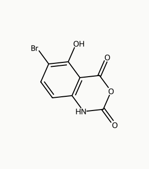 O=c1[nH]c2ccc(Br)c(O)c2c(=O)o1